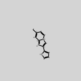 Cc1ccn2cc(-c3cccs3)nc2c1